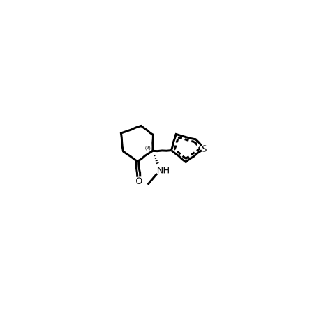 CN[C@@]1(c2ccsc2)CCCCC1=O